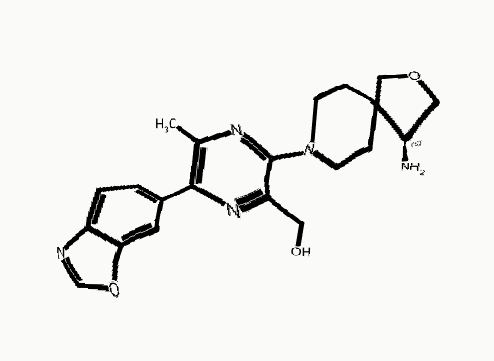 Cc1nc(N2CCC3(CC2)COC[C@H]3N)c(CO)nc1-c1ccc2ncoc2c1